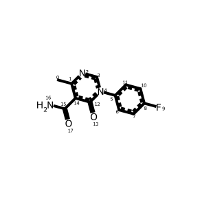 Cc1ncn(-c2ccc(F)cc2)c(=O)c1C(N)=O